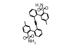 Cc1ccc(S(N)(=O)=O)c(-c2ccccc2C#Cc2ccccc2-c2cc(C)ccc2S(N)(=O)=O)c1